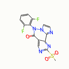 CS(=O)(=O)c1ncc2c(=O)n(-c3c(F)cccc3F)n3ccnc3c2n1